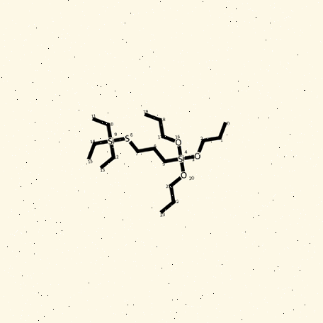 CCCO[Si](CCCS[Si](CC)(CC)CC)(OCCC)OCCC